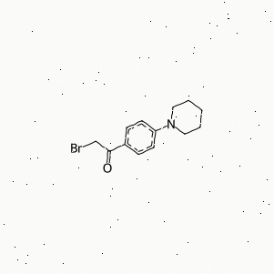 O=C(CBr)c1ccc(N2CCCCC2)cc1